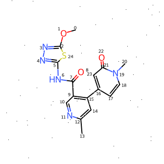 COc1nnc(NC(=O)c2cnc(C)cc2-c2ccn(C)c(=O)c2)s1